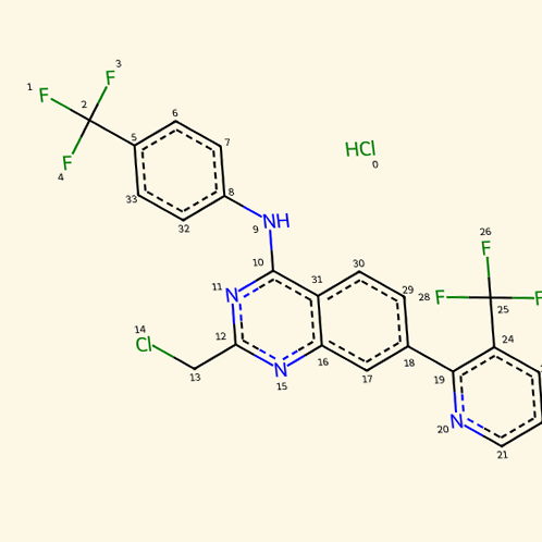 Cl.FC(F)(F)c1ccc(Nc2nc(CCl)nc3cc(-c4ncccc4C(F)(F)F)ccc23)cc1